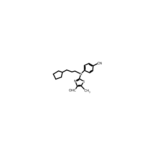 Cc1sc(N(CCCC2CCCC2)c2ccc(C#N)cc2)nc1C=O